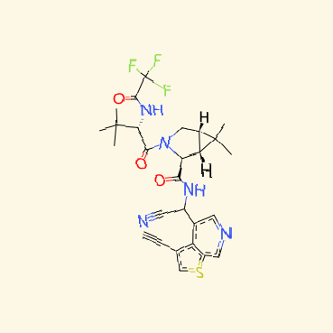 C#Cc1csc2cncc(C(C#N)NC(=O)[C@@H]3[C@@H]4[C@H](CN3C(=O)[C@@H](NC(=O)C(F)(F)F)C(C)(C)C)C4(C)C)c12